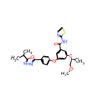 COC[C@H](C)Oc1cc(Oc2ccc(-c3nnc(C(C)C)o3)cc2)cc(C(=O)Nc2nccs2)c1